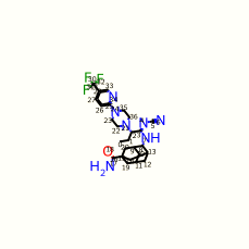 CCC(/C(=N/C#N)NC1C2CC3CC1CC(C(N)=O)(C3)C2)N1CCN(c2ccc(C(F)(F)F)cn2)CC1